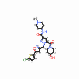 CC(C)N1CCC(NC(=O)c2cc(C(=O)N3CCC(O)CC3)n(Cc3cc(-c4ccc(Cl)s4)on3)n2)CC1